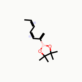 C=C(/C=C\C=C/C)B1OC(C)(C)C(C)(C)O1